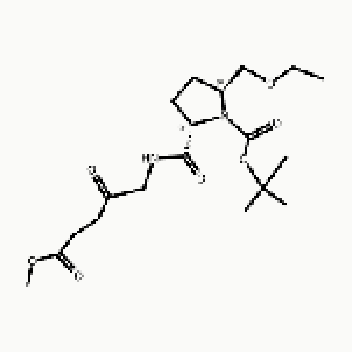 CCOC[C@@H]1CC[C@@H](C(=O)NCC(=O)CCC(=O)OC)N1C(=O)OC(C)(C)C